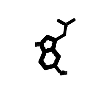 CN(C)Cc1c[nH]c2ccc(C(C)(C)C)cc12